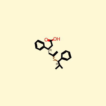 C=C(C[C@@H](CC(=O)O)c1ccccc1)S[C@@H](c1ccccc1)C(C)C